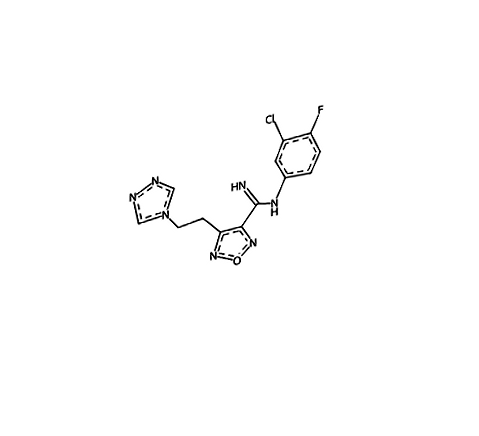 N=C(Nc1ccc(F)c(Cl)c1)c1nonc1CCn1cnnc1